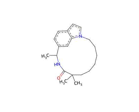 CC1NC(=O)C(C)(C)CCCCCCn2ccc3ccc1cc32